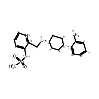 CS(=O)(=O)Nc1cccnc1CO[C@H]1CC[C@@H](c2ccccc2C(F)(F)F)CC1